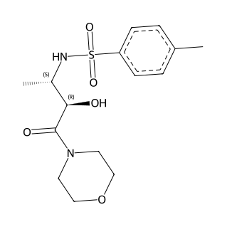 Cc1ccc(S(=O)(=O)N[C@@H](C)[C@@H](O)C(=O)N2CCOCC2)cc1